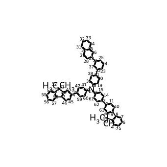 CC1(C)c2ccccc2-c2ccc(-c3ccc(N(c4ccc(-c5cccc(-c6ccc7ccccc7c6)c5)cc4)c4ccc(-c5ccc6c(c5)C(C)(C)c5ccccc5-6)cc4)cc3)cc21